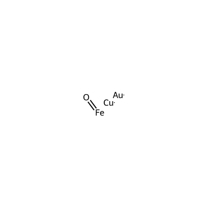 [Au].[Cu].[O]=[Fe]